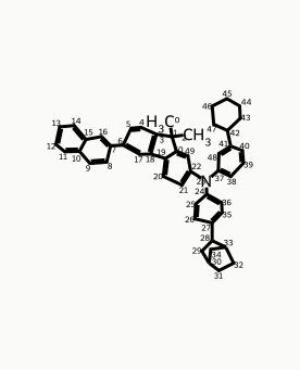 CC1(C)c2ccc(-c3ccc4ccccc4c3)cc2-c2ccc(N(c3ccc(C4CC5CCC4C5)cc3)c3cccc(C4CCCCC4)c3)cc21